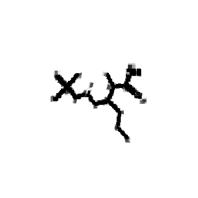 CCCC([CH2][Cr][CH2]C(C)(C)C)C(C)C(=O)O